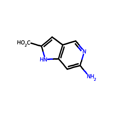 Nc1cc2[nH]c(C(=O)O)cc2cn1